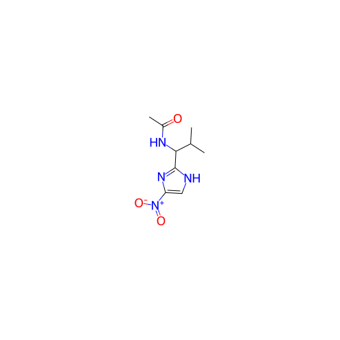 CC(=O)NC(c1nc([N+](=O)[O-])c[nH]1)C(C)C